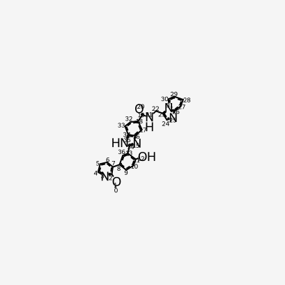 COc1ncccc1-c1ccc(O)c(-c2nc3cc(C(=O)NCc4cnc5ccccn45)ccc3[nH]2)c1